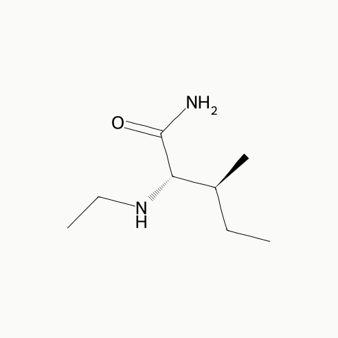 CCN[C@H](C(N)=O)[C@@H](C)CC